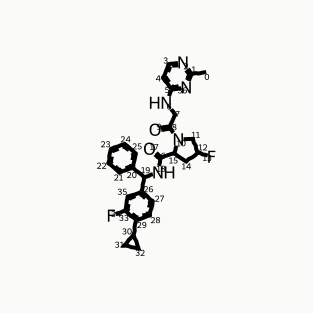 Cc1nccc(NCC(=O)N2CC(F)CC2C(=O)NC(c2ccccc2)c2ccc(C3CC3)c(F)c2)n1